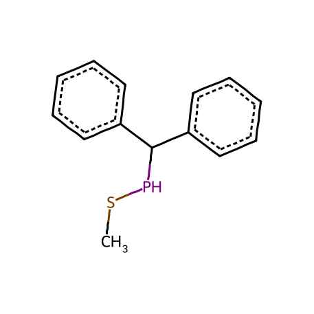 CSPC(c1ccccc1)c1ccccc1